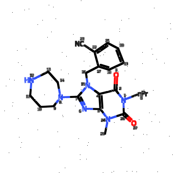 CCCn1c(=O)c2c(nc(N3CCCNCC3)n2Cc2ccccc2C#N)n(C)c1=O